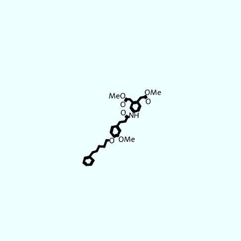 COC(=O)Cc1ccc(NC(=O)CCc2ccc(OCCCCCc3ccccc3)c(OC)c2)cc1CC(=O)OC